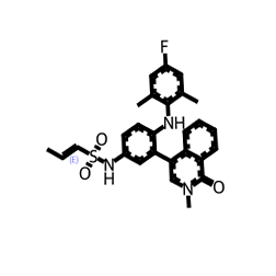 C/C=C/S(=O)(=O)Nc1ccc(Nc2c(C)cc(F)cc2C)c(-c2cn(C)c(=O)c3ccccc23)c1